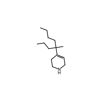 CCCCC(C)(CCC)C1=CCNCC1